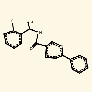 CC(NC(=O)c1ccc(-c2ccccc2)nc1)c1ccccc1Cl